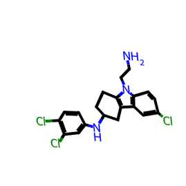 NCCn1c2c(c3cc(Cl)ccc31)CC(Nc1ccc(Cl)c(Cl)c1)CC2